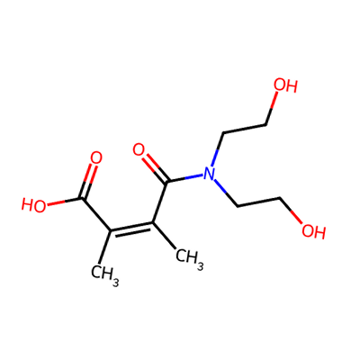 C/C(C(=O)O)=C(\C)C(=O)N(CCO)CCO